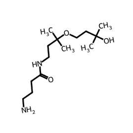 CC(C)(O)CCOC(C)(C)CCNC(=O)CCCN